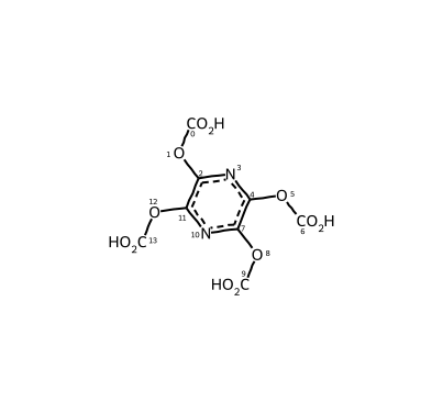 O=C(O)Oc1nc(OC(=O)O)c(OC(=O)O)nc1OC(=O)O